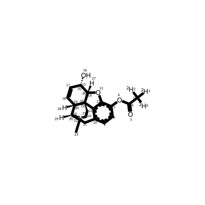 [2H]C([2H])([2H])C(=O)Oc1ccc2c3c1O[C@H]1[C@@H](O)C=C[C@H]4[C@@H](C2)N(C)CC[C@@]341